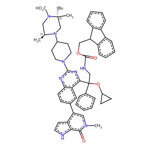 C[C@H]1CN(C(=O)O)[C@](C)(C(C)(C)C)CN1C1CCN(c2nc(C(CNC(=O)OCC3c4ccccc4-c4ccccc43)(OC3CC3)c3ccccc3)c3cc(-c4cn(C)c(=O)c5[nH]ccc45)ccc3n2)CC1